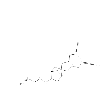 O=C=NCCCC1CC2CC1CC2(CCCN=C=O)CCCN=C=O